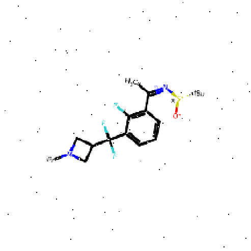 C/C(=N/[S@@+]([O-])C(C)(C)C)c1cccc(C(F)(F)C2CN(C(C)C)C2)c1F